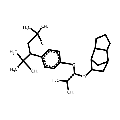 CC(C)C(Oc1ccc(C(CC(C)(C)C)C(C)(C)C)cc1)OC1CC2CC1C1CCCC21